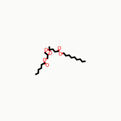 CCCCCCCCCOC(=O)CCC1(C)OCC(COC(=O)CCCCC)O1